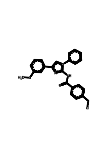 COc1cccc(-c2cn(-c3ccccc3)c(NC(=O)c3ccc(CCl)cc3)n2)c1